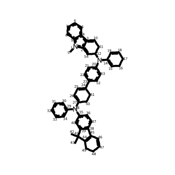 Cn1c2c(c3ccccc31)=CCC(N(C1=CCCC=C1)c1ccc(C3=CC=C(N(c4ccccc4)c4ccc5c(c4)C(C)(C)C4=C5C=CCC4)CC3)cc1)C=2